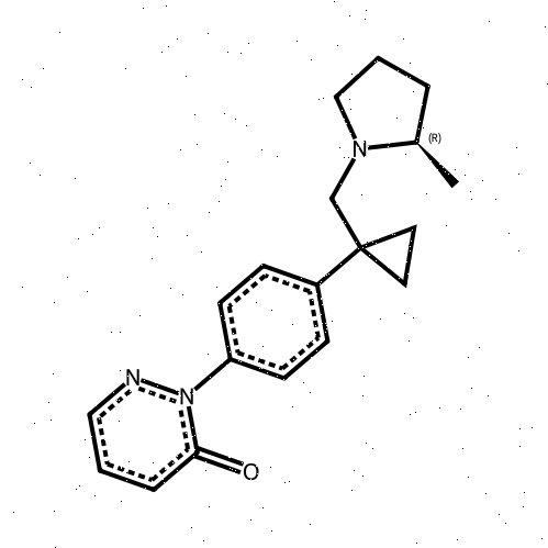 C[C@@H]1CCCN1CC1(c2ccc(-n3ncccc3=O)cc2)CC1